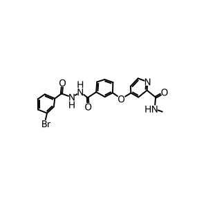 CNC(=O)c1cc(Oc2cccc(C(=O)NNC(=O)c3cccc(Br)c3)c2)ccn1